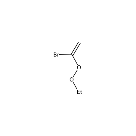 C=C(Br)OOCC